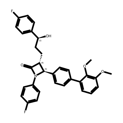 COc1cccc(-c2ccc([C@@H]3[C@@H](CC[C@H](O)c4ccc(F)cc4)C(=O)N3c3ccc(F)cc3)cc2)c1OC